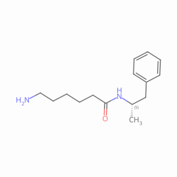 C[C@@H](Cc1ccccc1)NC(=O)CCCCCN